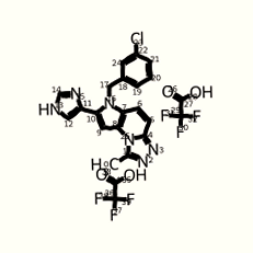 Cc1nnc2ccc3c(cc(-c4c[nH]cn4)n3Cc3cccc(Cl)c3)n12.O=C(O)C(F)(F)F.O=C(O)C(F)(F)F